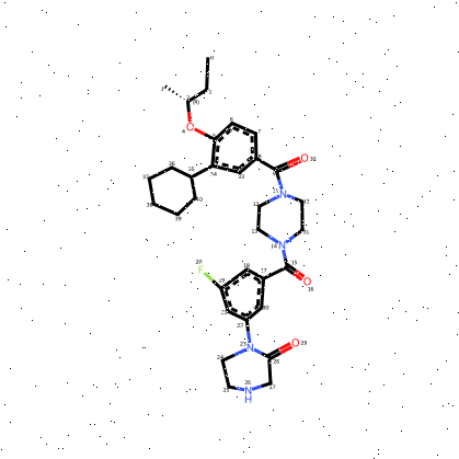 CC[C@@H](C)Oc1ccc(C(=O)N2CCN(C(=O)c3cc(F)cc(N4CCNCC4=O)c3)CC2)cc1C1CCCCC1